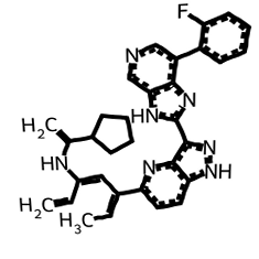 C=C/C(=C\C(=C/C)c1ccc2[nH]nc(-c3nc4c(-c5ccccc5F)cncc4[nH]3)c2n1)NC(=C)C1CCCC1